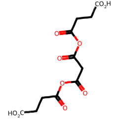 O=C(O)CCC(=O)OC(=O)CC(=O)OC(=O)CCC(=O)O